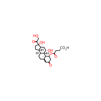 C[C@]12C[C@H](O)[C@H]3[C@@H](CCC4=CC(=O)CC(OC(=O)CCC(=O)O)[C@@]43C)[C@@H]1CC[C@]2(O)C(=O)CO